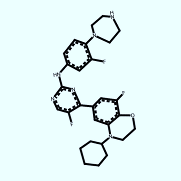 Fc1cc(Nc2ncc(F)c(-c3cc(F)c4c(c3)N(C3CCCCC3)CCO4)n2)ccc1N1CCNCC1